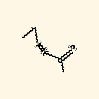 CCCCCCCCC(C)C(C)CCCCCCCCn1c(=O)c2cc3c(=O)n(C(CC)(CC)CCCCCCCCC4CCC(CCCCCC)C(CCCCCCCC)C4CCCCCCCCN4C(=O)C=CC4=O)c(=O)c3cc2c1=O